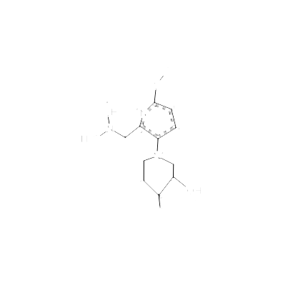 CSc1ccc(N2CCC(F)C(O)C2)c(CN(C)C)n1